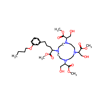 CCCCOc1cccc(CCCC(C(=O)OC)N2CCN(C(CO)C(=O)OC)CCN(C(CO)C(=O)OC)CCN(C(CO)C(=O)OC)CC2)c1